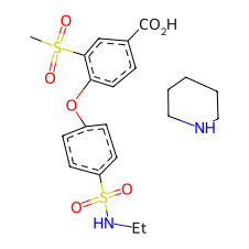 C1CCNCC1.CCNS(=O)(=O)c1ccc(Oc2ccc(C(=O)O)cc2S(C)(=O)=O)cc1